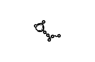 C1=CC23C=CC(C=C2)N(c2ccccc2)c2ccc(cc2)N(c2ccc(-c4ccc(N(c5ccccc5)c5ccc(C=Cc6ccccc6)cc5)cc4)cc2)c2ccc(cc2)/C=C/C(=C1)C3